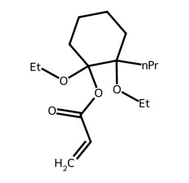 C=CC(=O)OC1(OCC)CCCCC1(CCC)OCC